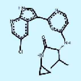 CC(C)[C@@H](Nc1ccnc(-c2c[nH]c3ncc(Cl)cc23)n1)C(=O)NC1CC1